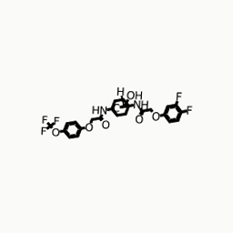 O=C(COc1ccc(OC(F)(F)F)cc1)NC12CCC(NC(=O)COc3ccc(F)c(F)c3)(CC1)[C@@H](O)C2